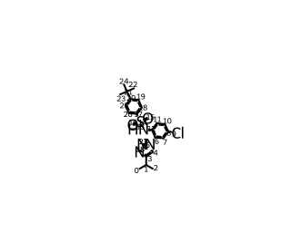 CC(C)c1cn(-c2cc(Cl)ccc2NS(=O)(=O)c2ccc(C(C)(C)C)cc2)nn1